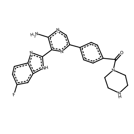 Nc1ncc(-c2ccc(C(=O)N3CCNCC3)cc2)nc1-c1nc2ccc(F)cc2[nH]1